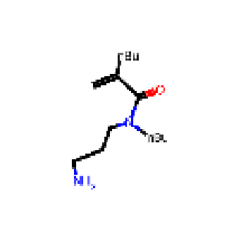 C=C(CCCC)C(=O)N(CCCC)CCCN